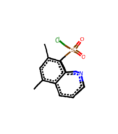 Cc1cc(C)c2cccnc2c1S(=O)(=O)Cl